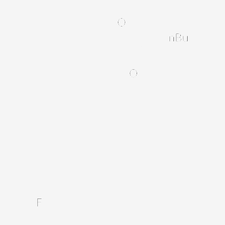 CCCCC(=O)OCc1ccc(CF)cc1